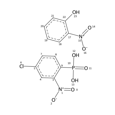 O=[N+]([O-])c1cc(Cl)ccc1P(=O)(O)O.O=[N+]([O-])c1ccccc1O